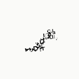 CC(=O)N[C@@H](C)COc1ccc(-n2nc3cc(OCC4CC4)ccc3c2C(F)(F)F)cc1